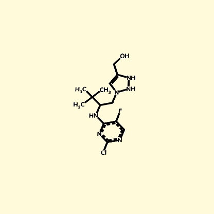 CC(C)(C)C(CN1C=C(CO)NN1)Nc1nc(Cl)ncc1F